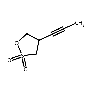 CC#CC1COS(=O)(=O)C1